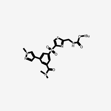 CN(C)C(=O)c1cc(-c2cnn(C)c2)cc(S(=O)(=O)c2csc(CNC(=O)OC(C)(C)C)n2)c1